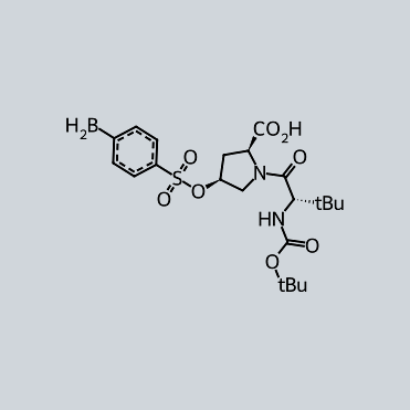 Bc1ccc(S(=O)(=O)O[C@H]2C[C@@H](C(=O)O)N(C(=O)[C@@H](NC(=O)OC(C)(C)C)C(C)(C)C)C2)cc1